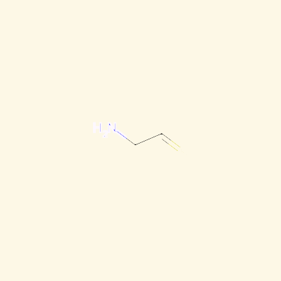 NC[C]=S